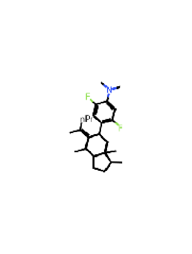 CCC/C(C)=C1\C(c2cc(F)c(N(C)C)cc2F)CC2(C)C(C)CCC2C1C